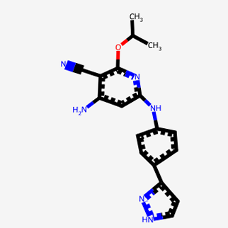 CC(C)Oc1nc(Nc2ccc(-c3cc[nH]n3)cc2)cc(N)c1C#N